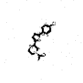 CC(=O)N1CCSC(c2ccc(-c3ccc(Cl)cc3)s2)C1